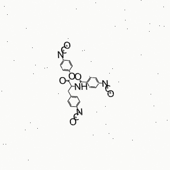 O=C=Nc1ccc(CC(NC(=O)c2ccc(N=C=O)cc2)C(=O)Oc2ccc(N=C=O)cc2)cc1